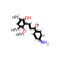 CCCOc1c(CCC)cc(CCC)c(O)c1/C=C/C(=O)c1ccc(N)cc1